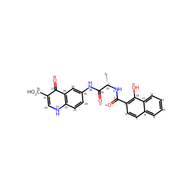 C[C@H](NC(=O)c1ccc2ccccc2c1O)C(=O)Nc1ccc2[nH]cc(C(=O)O)c(=O)c2c1